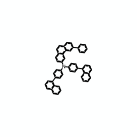 c1ccc(-c2ccc3ccc4ccc(N(c5ccc(-c6cccc7ccccc67)cc5)c5ccc(-c6cccc7ccccc67)cc5)cc4c3c2)cc1